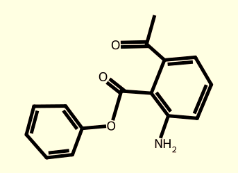 CC(=O)c1cccc(N)c1C(=O)Oc1ccccc1